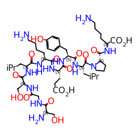 CC(C)C[C@H](NC(=O)[C@H](CO)NC(=O)CNC(=O)[C@@H](N)CO)C(=O)N[C@@H](CCCCN)C(=O)N[C@@H](CCC(=O)O)C(=O)N[C@@H](Cc1ccc(O)cc1)C(=O)N[C@@H](CC(C)C)C(=O)N1CCC[C@H]1C(=O)N[C@@H](CCCCN)C(=O)O